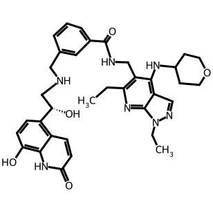 CCc1nc2c(cnn2CC)c(NC2CCOCC2)c1CNC(=O)c1cccc(CNC[C@H](O)c2ccc(O)c3[nH]c(=O)ccc23)c1